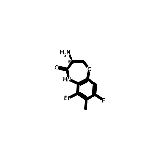 CCc1c(C)c(F)cc2c1NC(=O)[C@@H](N)CO2